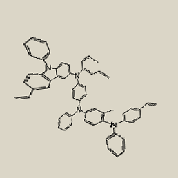 C=C/C=C(\C=C/C)N(c1ccc(N(c2ccccc2)c2ccc(N(c3ccccc3)c3ccc(C=C)cc3)c(C)c2)cc1)c1ccc2c(c1)c1cc(C=C)ccc1n2-c1ccccc1